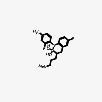 CNCCCC1Cc2cc(F)ccc2N(c2ccc(C)cc2F)S1(O)O